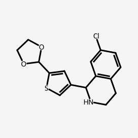 Clc1ccc2c(c1)C(c1csc(C3OCCO3)c1)NCC2